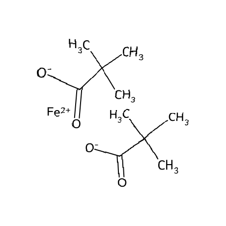 CC(C)(C)C(=O)[O-].CC(C)(C)C(=O)[O-].[Fe+2]